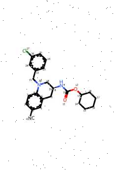 [C-]#[N+]c1ccc2c(c1)C[C@H](NC(=O)OC1CCCCC1)CN2Cc1cccc(Cl)c1